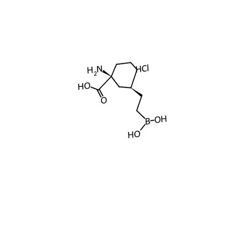 Cl.N[C@@]1(C(=O)O)CCC[C@@H](CCB(O)O)C1